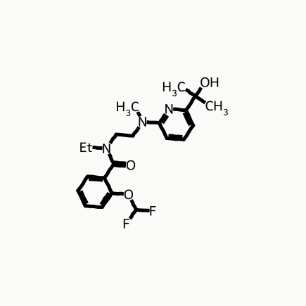 CCN(CCN(C)c1cccc(C(C)(C)O)n1)C(=O)c1ccccc1OC(F)F